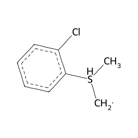 [CH2][SH](C)c1ccccc1Cl